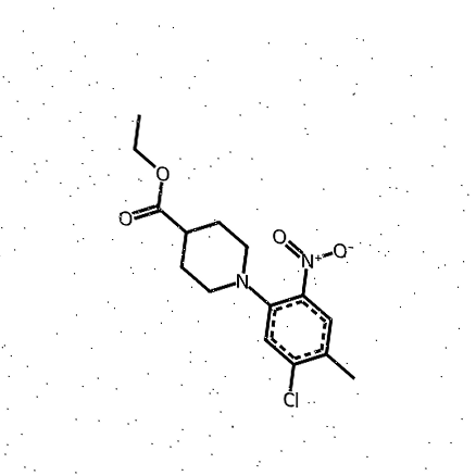 CCOC(=O)C1CCN(c2cc(Cl)c(C)cc2[N+](=O)[O-])CC1